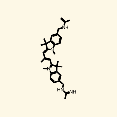 C=C(C)NCc1ccc2c(c1)C(C)(C)C(=CC(C)=CC1=[N+](C)c3ccc(CNC(C)=N)cc3C1(C)C)N2C